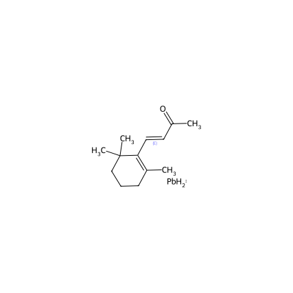 CC(=O)/C=C/C1=C(C)CCCC1(C)C.[PbH2]